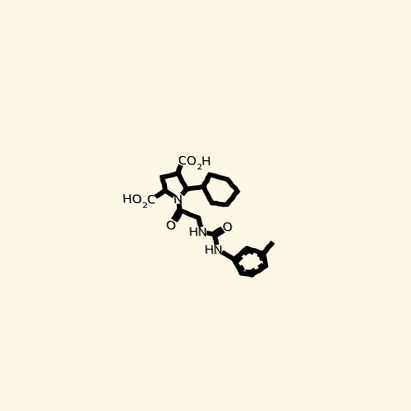 Cc1cccc(NC(=O)NCC(=O)N2C(C(=O)O)CC(C(=O)O)C2C2CCCCC2)c1